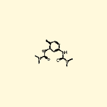 C=C1C=CC(NC(=O)N(C)C)=CC1NC(=O)N(C)C